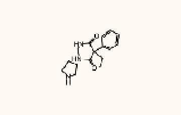 C1CCNC1.CCC1(c2ccccc2)C(=O)NCNC1=O